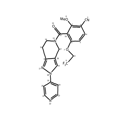 COc1c(C#N)ccc(OCC(F)(F)F)c1C(=O)N1CCc2nn(-c3ccncc3)cc2C1